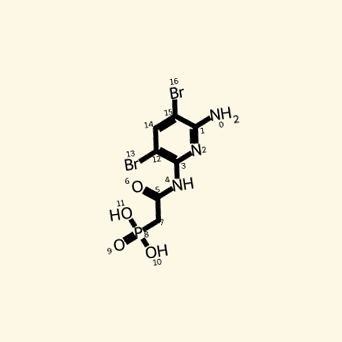 Nc1nc(NC(=O)CP(=O)(O)O)c(Br)cc1Br